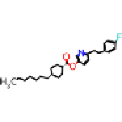 CCCCCCC[C@H]1CC[C@H](C(=O)Oc2ccc(CCc3ccc(F)cc3)nc2)CC1